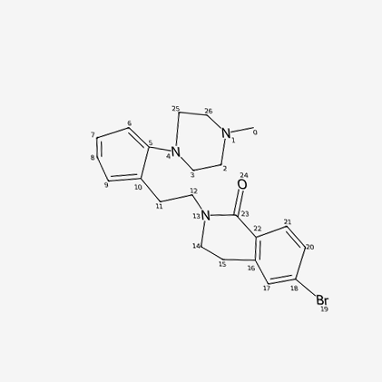 CN1CCN(c2ccccc2CCN2CCc3cc(Br)ccc3C2=O)CC1